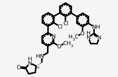 COc1cc(-c2cccc(-c3cccc(-c4ccc(CNC[C@@H]5CCC(=O)N5)c(OC)n4)c3Cl)c2Cl)ccc1NC1=NCCN1